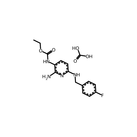 CCOC(=O)Nc1ccc(NCc2ccc(F)cc2)nc1N.O=C(O)O